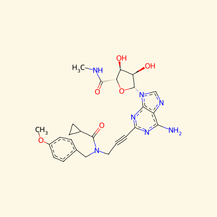 CNC(=O)[C@H]1O[C@@H](n2cnc3c(N)nc(C#CCN(Cc4ccc(OC)cc4)C(=O)C4CC4)nc32)[C@H](O)[C@@H]1O